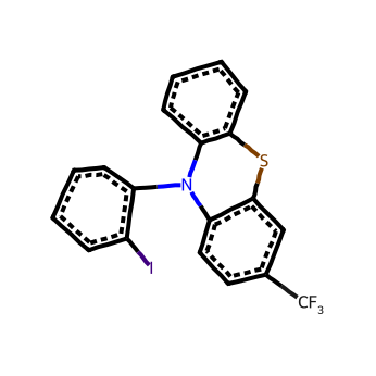 FC(F)(F)c1ccc2c(c1)Sc1ccccc1N2c1ccccc1I